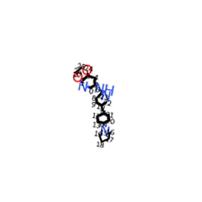 c1nc2c(cc1Nc1ccc(-c3ccc(N4CCCC4)cc3)cn1)OCCO2